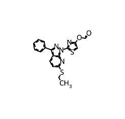 CCSc1ccc2c(-c3ccccc3)nn(-c3nc(OC=O)cs3)c2n1